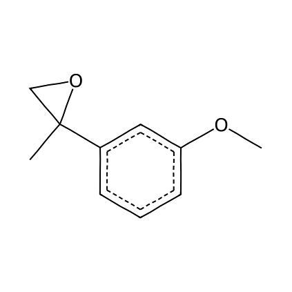 COc1cccc(C2(C)CO2)c1